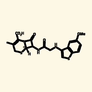 COc1ccc2scc(NCC(=O)NC3C(=O)N4C(C(=O)O)=C(C)CS[C@@H]34)c2c1